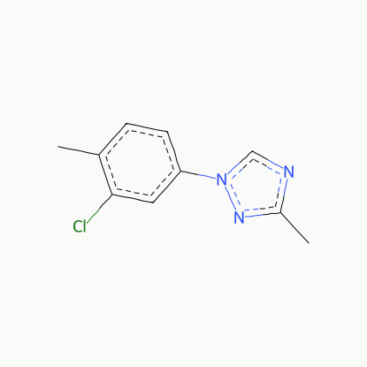 Cc1ncn(-c2ccc(C)c(Cl)c2)n1